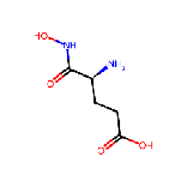 N[C@@H](CCC(=O)O)C(=O)NO